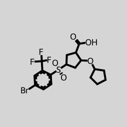 O=C(O)C1CC(S(=O)(=O)c2ccc(Br)cc2C(F)(F)F)CC1OC1CCCC1